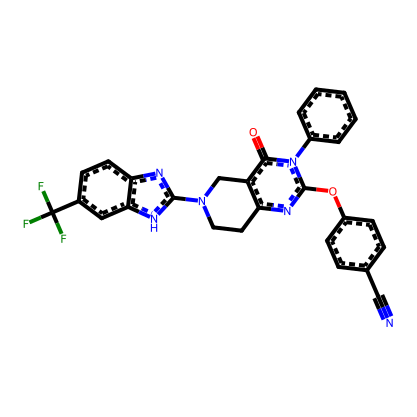 N#Cc1ccc(Oc2nc3c(c(=O)n2-c2ccccc2)CN(c2nc4ccc(C(F)(F)F)cc4[nH]2)CC3)cc1